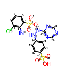 [NH]c1c(Cl)cccc1S(=O)(=O)ON(Nc1ccc(S(=O)(=O)O)cc1)c1ncncn1